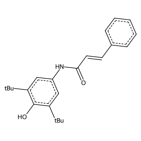 CC(C)(C)c1cc(NC(=O)C=Cc2ccccc2)cc(C(C)(C)C)c1O